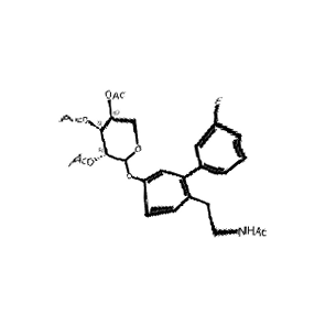 CC(=O)NCCc1ccc(OC2OC[C@H](OC(C)=O)[C@H](OC(C)=O)[C@H]2OC(C)=O)cc1-c1cccc(F)c1